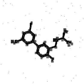 Cc1cc(F)cc(-c2ccc(F)c(CN[C@H](C)C(C)C)n2)c1